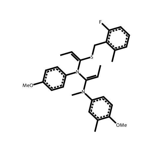 C/C=C(/N(C)c1ccc(OC)c(C)c1)N(/C(=C\C)SCc1c(C)cccc1F)c1ccc(OC)cc1